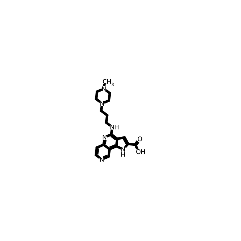 CN1CCN(CCCNc2nc3ccncc3c3[nH]c(C(=O)O)cc23)CC1